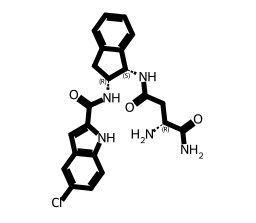 NC(=O)[C@H](N)CC(=O)N[C@H]1c2ccccc2C[C@H]1NC(=O)c1cc2cc(Cl)ccc2[nH]1